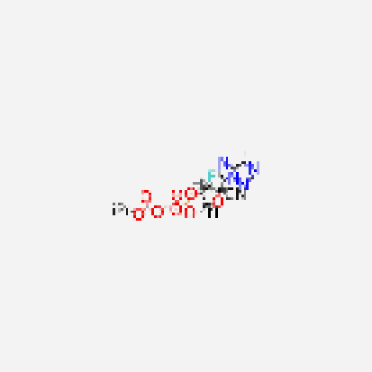 Cc1ncnn2c([C@]3(C#N)O[C@@H]4COP(=O)(OCOC(=O)OC(C)C)O[C@H]4[C@@]3(C)F)cnc12